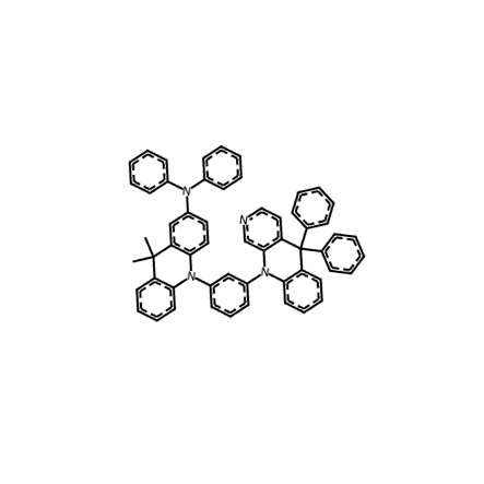 CC1(C)c2ccccc2N(c2cccc(N3c4ccccc4C(c4ccccc4)(c4ccccc4)c4ccncc43)c2)c2ccc(N(c3ccccc3)c3ccccc3)cc21